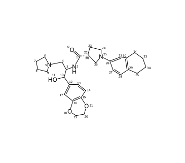 O=C(NC(CN1CCCC1)C(O)c1ccc2c(c1)OCCO2)[C@@H]1CCN(c2ccc3c(c2)CCCC3)C1